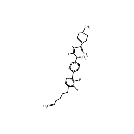 C=CCCCCc1ccc(-c2ccc(C(=C)/C(F)=C(F)\C(=C/C)C3=CCC(C)CC3)cc2)c(F)c1F